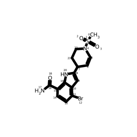 CS(=O)(=O)N1C=CC(c2cc3c(Br)ccc(C(N)=O)c3[nH]2)CC1